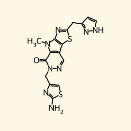 Cn1c2nc(Cc3cc[nH]n3)sc2c2cnn(Cc3csc(N)n3)c(=O)c21